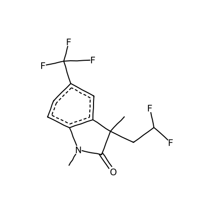 CN1C(=O)C(C)(CC(F)F)c2cc(C(F)(F)F)ccc21